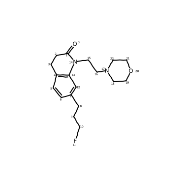 O=C1CCc2ccc(CCCF)cc2N1CCN1CCOCC1